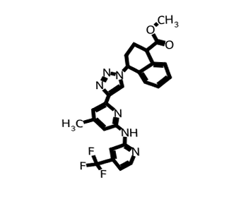 COC(=O)C1CCC(n2cc(-c3cc(C)cc(Nc4cc(C(F)(F)F)ccn4)n3)nn2)c2ccccc21